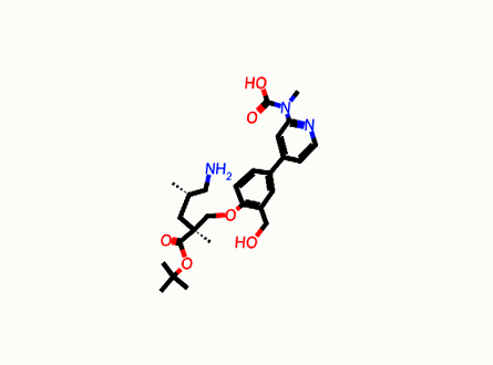 C[C@H](CN)C[C@@](C)(COc1ccc(-c2ccnc(N(C)C(=O)O)c2)cc1CO)C(=O)OC(C)(C)C